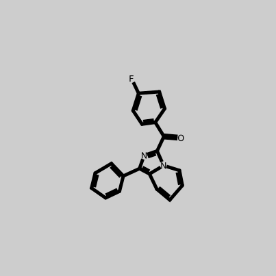 O=C(c1ccc(F)cc1)c1nc(-c2ccccc2)c2ccccn12